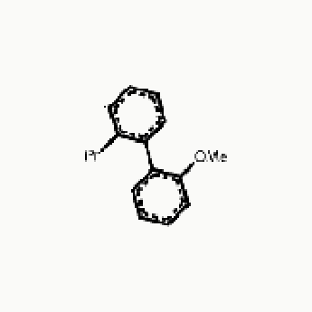 COc1ccccc1-c1ccc[c]c1C(C)C